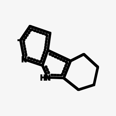 [c]1ccc2c3c([nH]c2n1)CCCC3